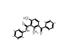 Cc1ccc(C(=O)c2ccccc2)c(C)c1C(=O)Pc1ccccc1